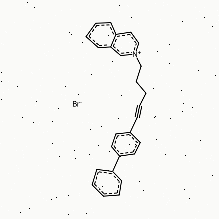 C(#Cc1ccc(-c2ccccc2)cc1)CCC[n+]1ccc2ccccc2c1.[Br-]